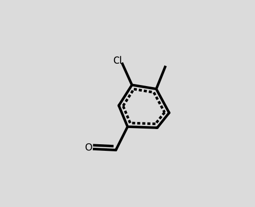 Cc1ccc(C=O)cc1Cl